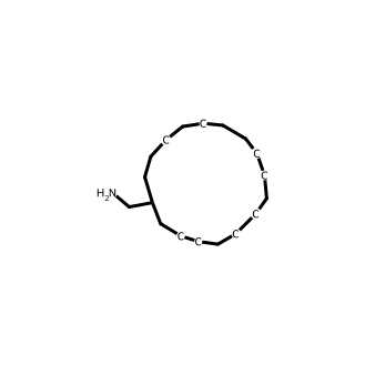 NCC1CCCCCCCCCCCCCCCC1